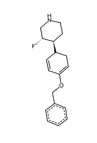 F[C@@H]1CNCC[C@H]1C1C=CC(OCc2ccccc2)=CC1